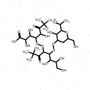 CC(C)C1OC(CO)CC(OOC(C(OOC(C(O)C(=O)C(C)(C)C)C(O)C(O)C(=O)O)C(=O)C(C)(C)C)C(O)C(O)CO)C1O